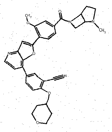 COc1cc(C(=O)N2CC3C2CCN3C)ccc1-c1cc2nccc(-c3ccc(OC4CCOCC4)c(C#N)c3)c2o1